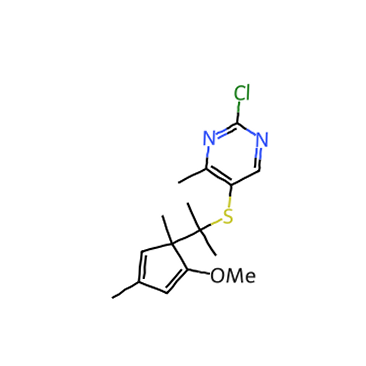 COC1=CC(C)=CC1(C)C(C)(C)Sc1cnc(Cl)nc1C